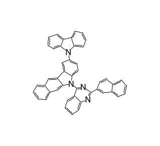 c1ccc2cc(-c3nc(-n4c5ccc(-n6c7ccccc7c7ccccc76)cc5c5cc6ccccc6cc54)c4ccccc4n3)ccc2c1